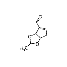 CC1OC2CC=C(C=O)C2O1